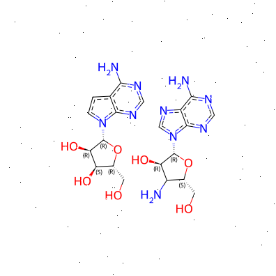 Nc1ncnc2c1ccn2[C@@H]1O[C@H](CO)[C@@H](O)[C@H]1O.Nc1ncnc2c1ncn2[C@@H]1O[C@H](CO)C(N)[C@H]1O